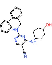 N#Cc1cnc(NCc2ccccc2-c2ccccc2)nc1NC1CCC(O)CC1